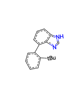 CC(C)(C)c1ccccc1-c1cccc2[nH]cnc12